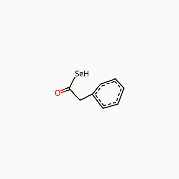 O=C([SeH])Cc1ccccc1